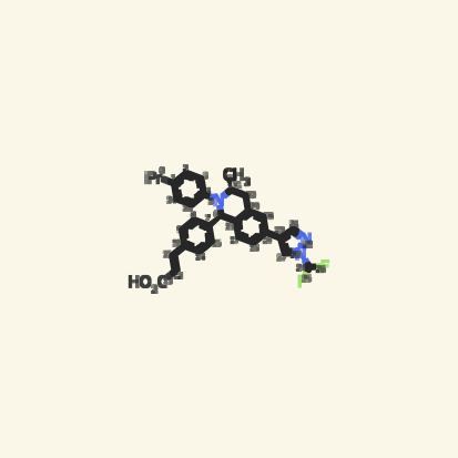 CC(C)c1ccc(N2[C@H](c3ccc(/C=C/C(=O)O)cc3)c3ccc(-c4cnn(C(F)F)c4)cc3C[C@H]2C)cc1